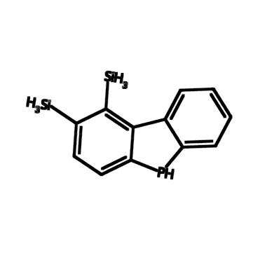 [SiH3]c1ccc2[pH]c3ccccc3c2c1[SiH3]